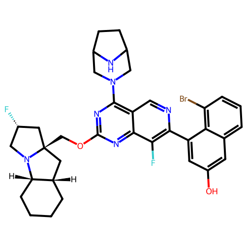 Oc1cc(-c2ncc3c(N4CC5CCC(C4)N5)nc(OC[C@]45C[C@@H](F)CN4[C@H]4CCCC[C@H]4C5)nc3c2F)c2c(Br)cccc2c1